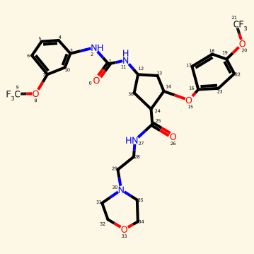 O=C(Nc1cccc(OC(F)(F)F)c1)NC1CC(Oc2ccc(OC(F)(F)F)cc2)C(C(=O)NCCN2CCOCC2)C1